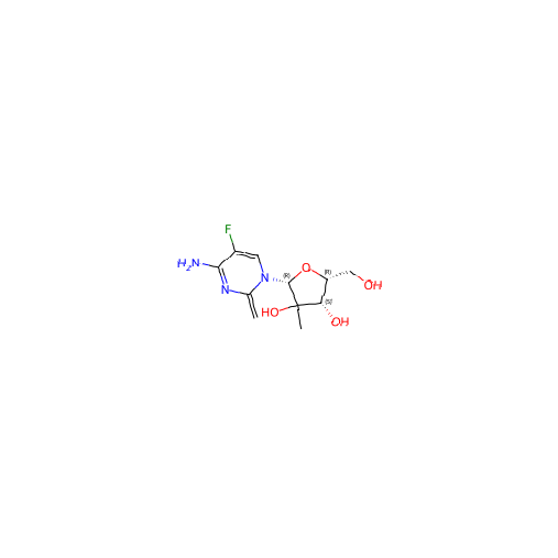 C=C1N=C(N)C(F)=CN1[C@@H]1O[C@H](CO)[C@H](O)C1(C)O